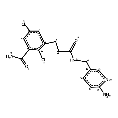 NC(=O)c1cc(Cl)cc(C[CH]C(=O)NCc2ccc(N)nc2)c1Cl